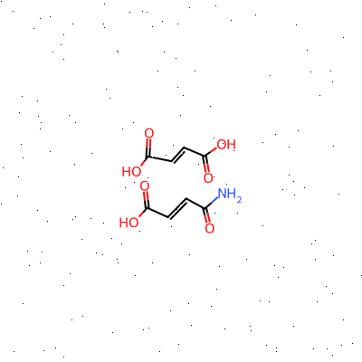 NC(=O)C=CC(=O)O.O=C(O)C=CC(=O)O